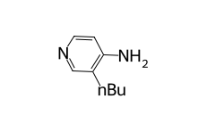 CCCCc1cnccc1N